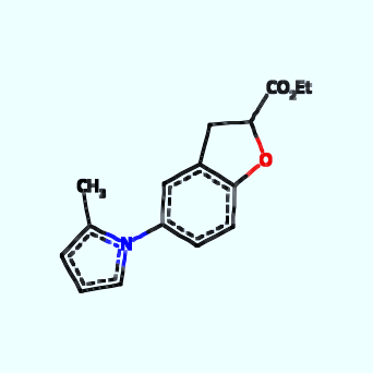 CCOC(=O)C1Cc2cc(-n3cccc3C)ccc2O1